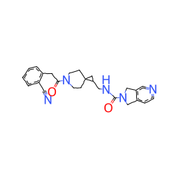 N#Cc1ccccc1CC(=O)N1CCC2(CC1)CC2CNC(=O)N1Cc2ccncc2C1